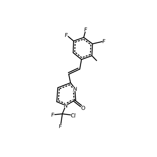 Cc1c(C=Cc2ccn(C(F)(F)Cl)c(=O)n2)cc(F)c(F)c1F